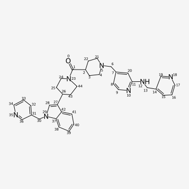 O=C(C1CCN(Cc2ccnc(NCc3cccnc3)c2)CC1)N1CCC(c2cn(Cc3cccnc3)c3ccccc23)CC1